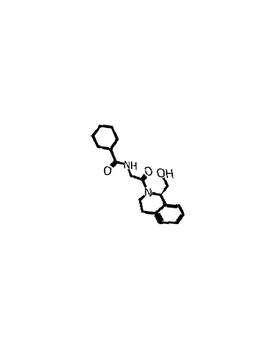 O=C(NCC(=O)N1CCc2ccccc2[C@@H]1CO)C1CCCCC1